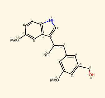 COc1cc(/C=C(\C#N)c2c[nH]c3ccc(OC)cc23)cc(CO)c1